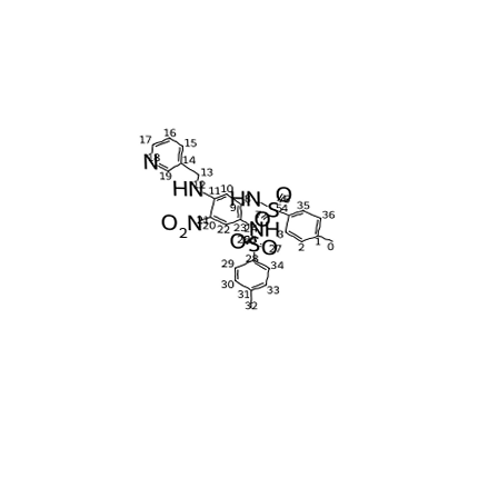 Cc1ccc(S(=O)(=O)Nc2cc(NCc3cccnc3)c([N+](=O)[O-])cc2NS(=O)(=O)c2ccc(C)cc2)cc1